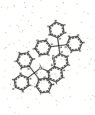 c1ccc(C(Oc2cccc3ccc(C(c4ccccc4)(c4ccccc4)c4ccccc4)nc23)(c2ccccc2)c2ccccc2)cc1